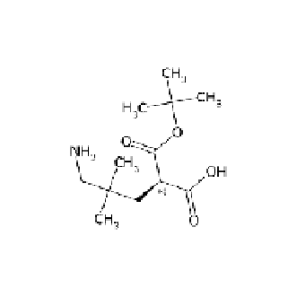 CC(C)(CN)C[C@H](C(=O)O)C(=O)OC(C)(C)C